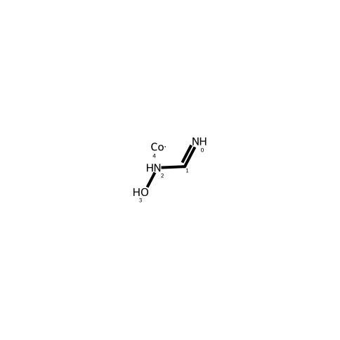 N=CNO.[Co]